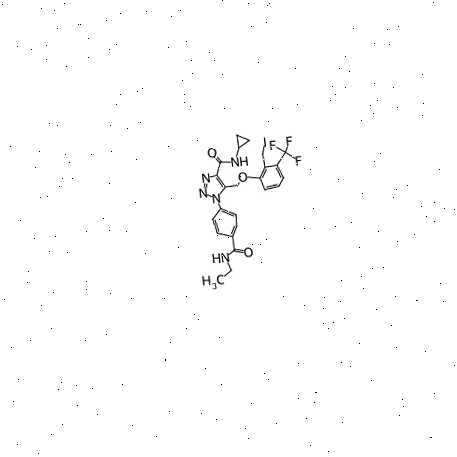 CCNC(=O)c1ccc(-n2nnc(C(=O)NC3CC3)c2COc2cccc(C(F)(F)F)c2CI)cc1